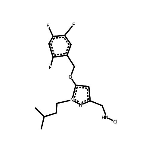 CC(C)CCn1nc(CNCl)cc1OCc1cc(F)c(F)cc1F